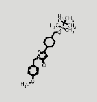 COc1ccc(Cn2oc(C3CCC(CO[Si](C)(C)C(C)(C)C)CC3)cc2=O)cc1